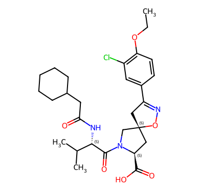 CCOc1ccc(C2=NO[C@]3(C2)C[C@@H](C(=O)O)N(C(=O)[C@@H](NC(=O)CC2CCCCC2)C(C)C)C3)cc1Cl